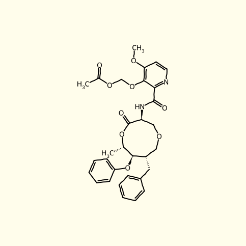 COc1ccnc(C(=O)N[C@H]2COC[C@H](Cc3ccccc3)[C@@H](Oc3ccccc3)[C@H](C)OC2=O)c1OCOC(C)=O